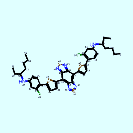 CCCCC(CC)Nc1ccc(-c2ccc(-c3c4c(c(-c5ccc(-c6ccc(NC(CC)CCCC)cc6F)s5)c5nsnc35)N=S=N4)s2)c(F)c1